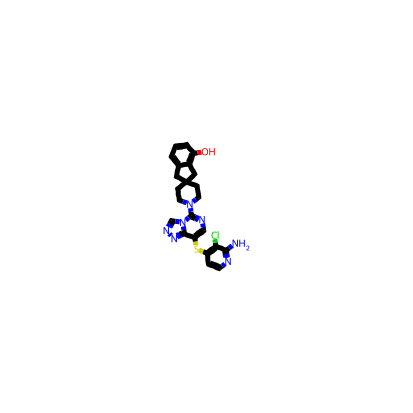 Nc1nccc(Sc2cnc(N3CCC4(CC3)Cc3cccc(O)c3C4)n3cnnc23)c1Cl